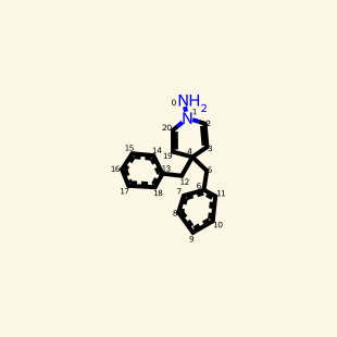 NN1C=CC(Cc2ccccc2)(Cc2ccccc2)C=C1